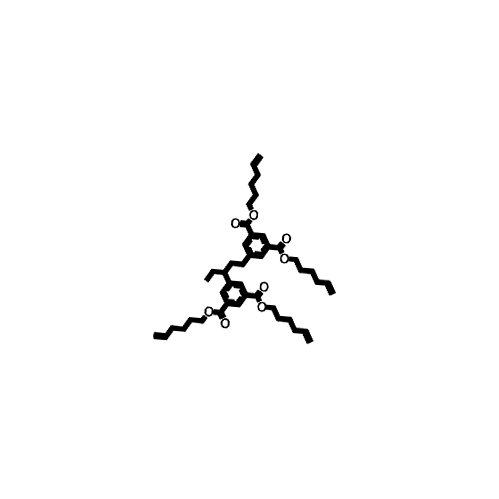 C=CCCCCOC(=O)c1cc(CCC(CC)c2cc(C(=O)OCCCCC=C)cc(C(=O)OCCCCC=C)c2)cc(C(=O)OCCCCC=C)c1